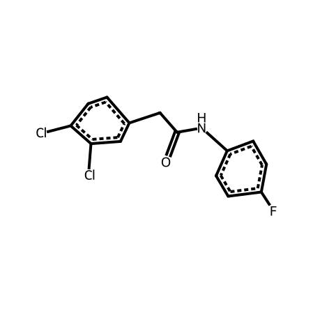 O=C(Cc1ccc(Cl)c(Cl)c1)Nc1ccc(F)cc1